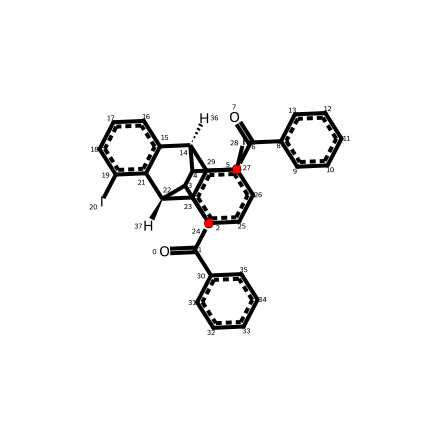 O=C(OC1C(OC(=O)c2ccccc2)[C@H]2c3cccc(I)c3[C@H]1c1cccc(I)c12)c1ccccc1